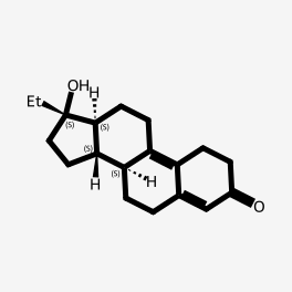 CC[C@]1(O)CC[C@H]2[C@@H]3CCC4=CC(=O)CCC4=C3CC[C@@H]21